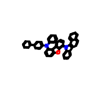 c1ccc(-c2ccc(N(c3ccccc3)c3cccc4oc5c(-n6c7ccccc7c7ccc8ccccc8c76)cccc5c34)cc2)cc1